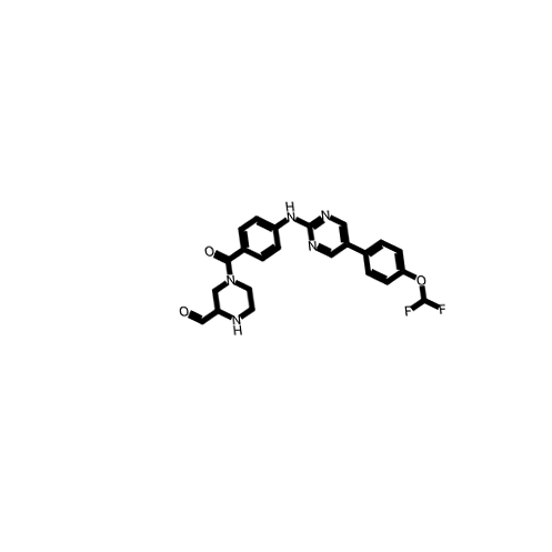 O=CC1CN(C(=O)c2ccc(Nc3ncc(-c4ccc(OC(F)F)cc4)cn3)cc2)CCN1